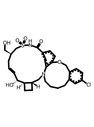 O=C1NS(=O)(=O)C[C@H](CO)C/C=C/[C@@H](O)[C@@H]2CC[C@H]2CN2CCCCc3cc(Cl)ccc3COc3ccc1cc32